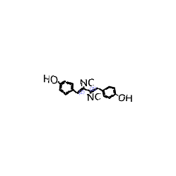 [C-]#[N+]C(=C\c1ccc(O)cc1)/C(=C/c1ccc(O)cc1)[N+]#[C-]